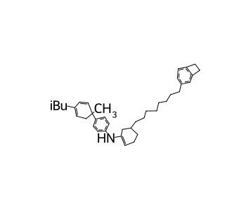 CCC(C)C1=CCC(C)(c2ccc(NC3=CCCC(CCCCCCCCc4ccc5c(c4)CC5)C3)cc2)C=C1